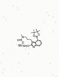 COc1nc2cccc(B3OC(C)(C)C(C)(C)O3)c2n1CCCN(C)C(=O)OC(C)(C)C